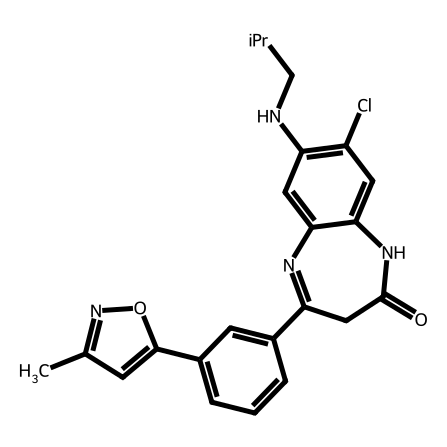 Cc1cc(-c2cccc(C3=Nc4cc(NCC(C)C)c(Cl)cc4NC(=O)C3)c2)on1